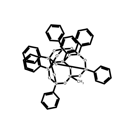 C[Si]12O[Si]3(c4ccccc4)O[Si]4(C5=CC=C=C=C5)O[Si](c5ccccc5)(O1)O[Si]1(c5ccccc5)O[Si](c5ccccc5)(O2)O[Si](c2ccccc2)(O3)O[Si](c2ccccc2)(O4)O1